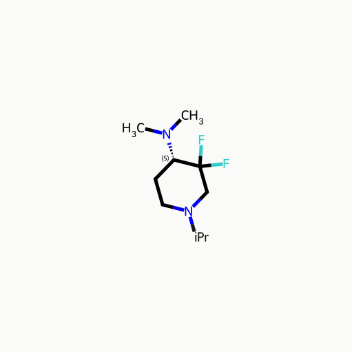 CC(C)N1CC[C@H](N(C)C)C(F)(F)C1